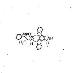 CO[C@@H]1[C@H](N(C)C(=O)c2ccccc2)C[C@H]2O[C@]1(C)C1=c3c(c4c(c5c3=C2c2ccccc2-5)C(=O)NC4)-c2ccccc21